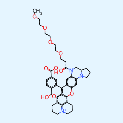 COCCOCCOCCOCCC(=O)N1CC2CCCN2c2cc3c(cc21)C(c1cc(C(=O)O)ccc1C(=O)O)=c1cc2c4c(c1O3)CCC[N+]=4CCC2